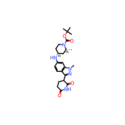 C[C@@H]1C[C@H](Nc2ccc3c(C4CCC(=O)NC4=O)nn(C)c3c2)CCN1C(=O)OC(C)(C)C